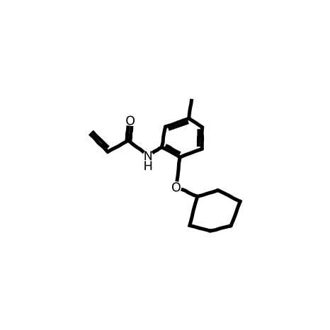 C=CC(=O)Nc1cc(C)ccc1OC1CCCCC1